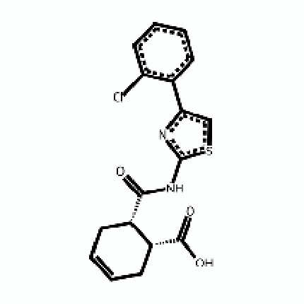 O=C(Nc1nc(-c2ccccc2Cl)cs1)[C@H]1CC=CC[C@H]1C(=O)O